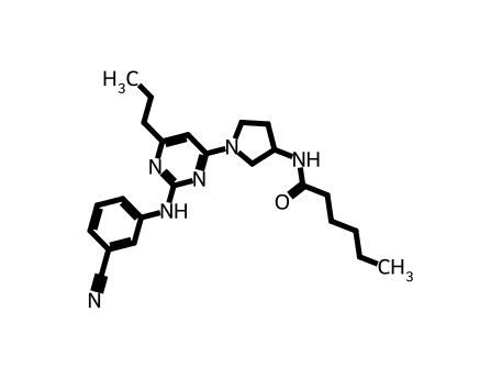 CCCCCC(=O)NC1CCN(c2cc(CCC)nc(Nc3cccc(C#N)c3)n2)C1